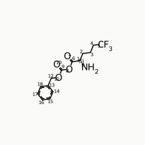 N[C@@H](CCCC(F)(F)F)C(=O)OC(=O)OCc1ccccc1